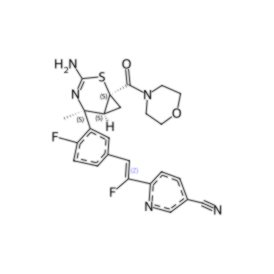 C[C@]1(c2cc(/C=C(\F)c3ccc(C#N)cn3)ccc2F)N=C(N)S[C@@]2(C(=O)N3CCOCC3)C[C@H]21